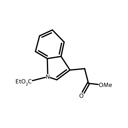 CCOC(=O)n1cc(CC(=O)OC)c2ccccc21